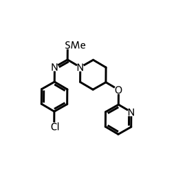 CSC(=Nc1ccc(Cl)cc1)N1CCC(Oc2ccccn2)CC1